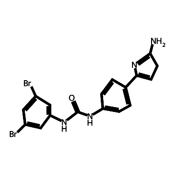 NC1=NC(c2ccc(NC(=O)Nc3cc(Br)cc(Br)c3)cc2)=CC1